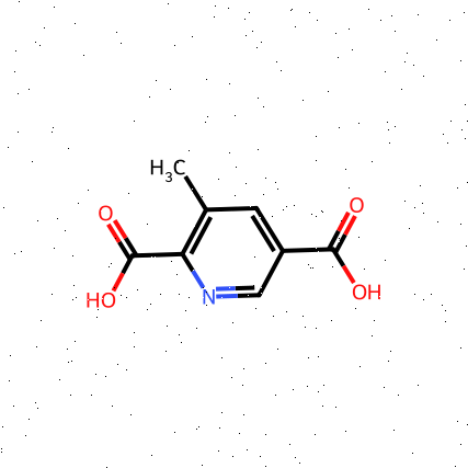 Cc1cc(C(=O)O)cnc1C(=O)O